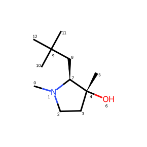 CN1CC[C@@](C)(O)[C@@H]1CC(C)(C)C